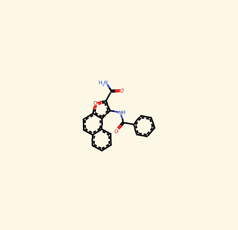 NC(=O)c1oc2ccc3ccccc3c2c1NC(=O)c1ccccc1